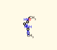 C/C=C\C(=O)Nc1cccc(-c2cccc3cnc(Nc4ccc(N5CCN(C)CC5)cc4)nc23)c1